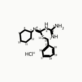 Cl.N=C(N)NC(=NC1CCCCC1)SCc1ccccc1